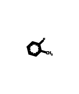 Cc1cc[c]cc1F